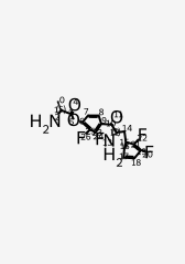 C[C@H](N)C(=O)Oc1ccc(C(=O)[C@@H](N)Cc2cccc(F)c2F)c(F)c1F